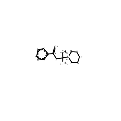 CC(C)(CC(=O)c1ccccc1)N1CCCCC1